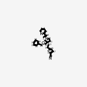 CC(C)(c1ccccn1)N1CC[C@@](CCc2ccc(C#N)s2)(COCc2ccccc2)C1